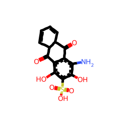 Nc1c(O)c(S(=O)(=O)O)c(O)c2c1C(=O)C1C=CC=CC1C2=O